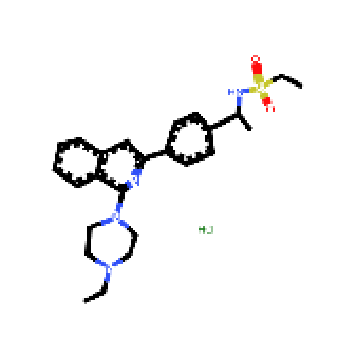 CCN1CCN(c2nc(-c3ccc(C(C)NS(=O)(=O)CC)cc3)cc3ccccc23)CC1.Cl